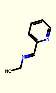 N#CCN=Cc1ccccn1